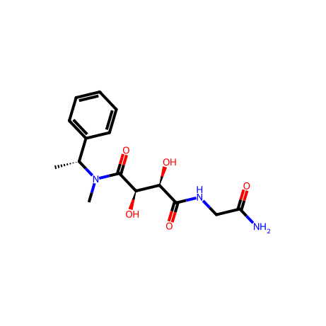 C[C@H](c1ccccc1)N(C)C(=O)[C@H](O)[C@@H](O)C(=O)NCC(N)=O